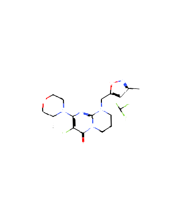 Cc1cc(CN2c3nc(N4CCOC[C@H]4C)c(F)c(=O)n3CC[C@H]2C(F)(F)F)on1